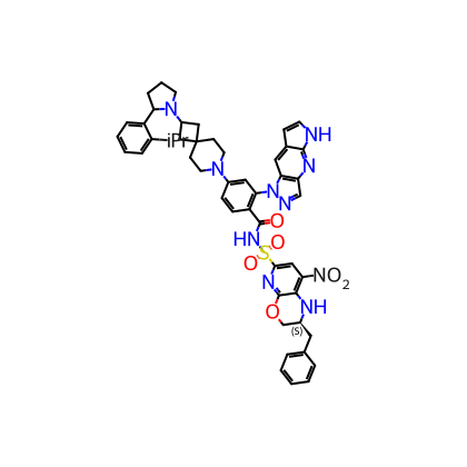 CC(C)c1ccccc1C1CCCN1C1CC2(CCN(c3ccc(C(=O)NS(=O)(=O)c4cc([N+](=O)[O-])c5c(n4)OC[C@H](Cc4ccccc4)N5)c(-n4ncc5nc6[nH]ccc6cc54)c3)CC2)C1